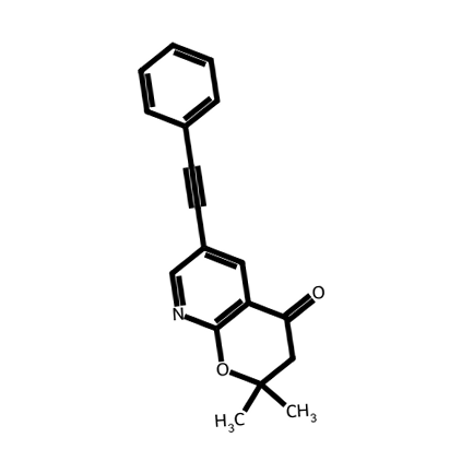 CC1(C)CC(=O)c2cc(C#Cc3ccccc3)cnc2O1